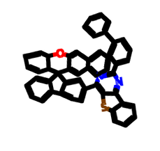 C1=CC2Oc3cc4ccccc4cc3C3(c4ccccc4-c4ccc(-c5nc(-c6cccc(-c7ccccc7)c6)nc6c5sc5ccccc56)cc43)C2C=C1